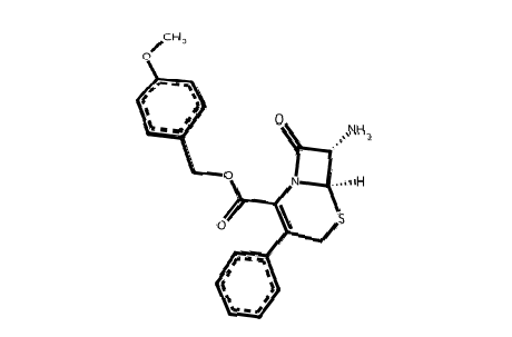 COc1ccc(COC(=O)C2=C(c3ccccc3)CS[C@@H]3[C@@H](N)C(=O)N23)cc1